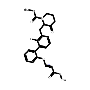 CC(C)(C)OC(=O)/C=C/Oc1ccccc1-c1cccc(CC2C(=O)CCCN2C(=O)OC(C)(C)C)c1F